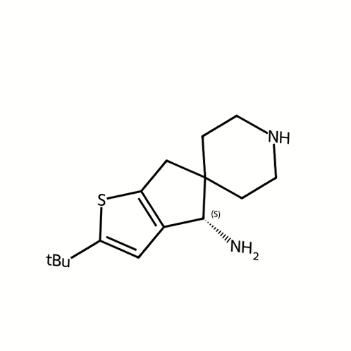 CC(C)(C)c1cc2c(s1)CC1(CCNCC1)[C@@H]2N